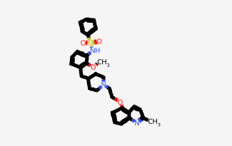 COc1c(CC2CCN(CCOc3cccc4nc(C)ccc34)CC2)cccc1NS(=O)(=O)c1ccccc1